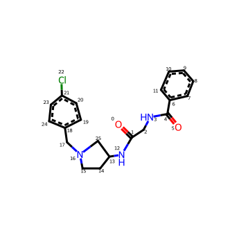 O=C(CNC(=O)c1ccccc1)NC1CCN(Cc2ccc(Cl)cc2)C1